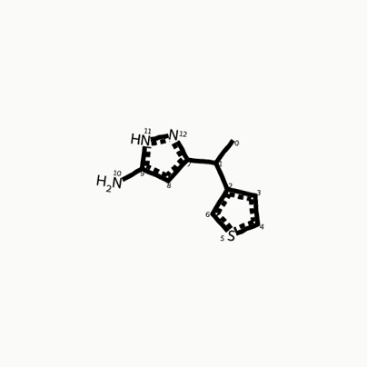 CC(c1ccsc1)c1cc(N)[nH]n1